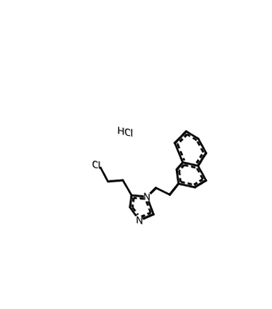 Cl.ClCCc1cncn1CCc1ccc2ccccc2c1